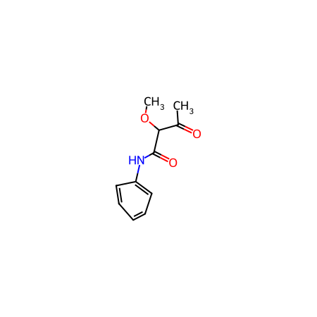 COC(C(C)=O)C(=O)Nc1ccccc1